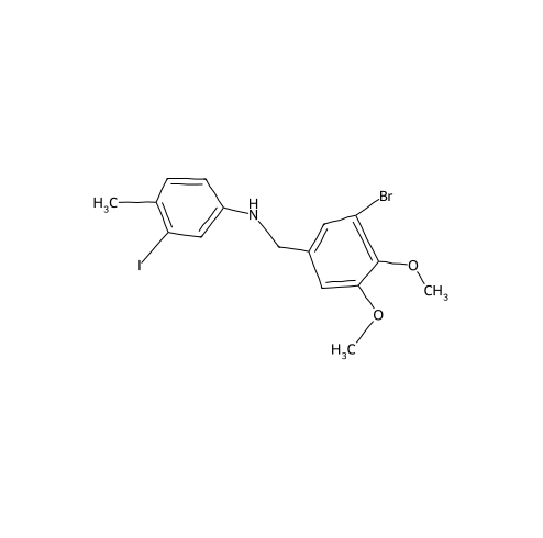 COc1cc(CNc2ccc(C)c(I)c2)cc(Br)c1OC